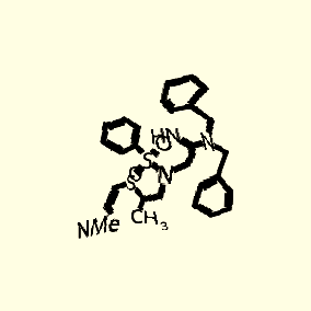 CN/C=C\SC(C)CN(CC(=N)N(Cc1ccccc1)Cc1ccccc1)S(=O)(=O)c1ccccc1